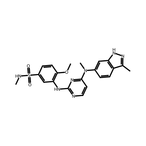 CNS(=O)(=O)c1ccc(OC)c(Nc2nccc(N(C)c3ccc4c(C)n[nH]c4c3)n2)c1